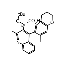 Cc1cc2c(cc1-c1c([C@H](OC(C)(C)C)C(=O)O)c(C)nc3ccccc13)CCCO2